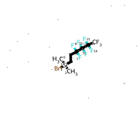 C[Si](C)(Br)CCC(F)(F)C(F)(F)C(F)(F)C(F)(F)F